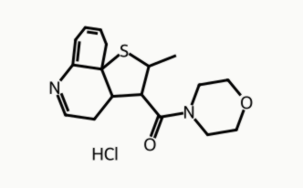 CC1SC23CC=CC=C2N=CCC3C1C(=O)N1CCOCC1.Cl